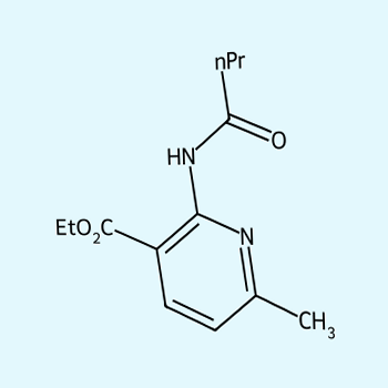 CCCC(=O)Nc1nc(C)ccc1C(=O)OCC